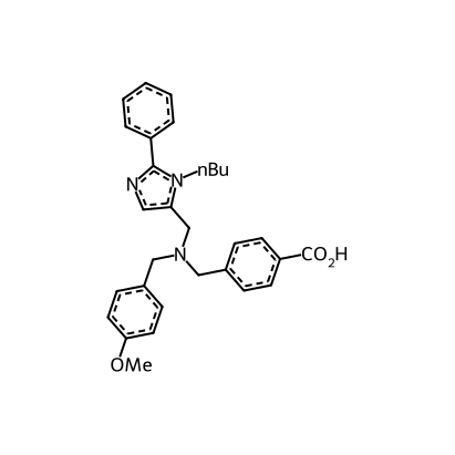 CCCCn1c(CN(Cc2ccc(OC)cc2)Cc2ccc(C(=O)O)cc2)cnc1-c1ccccc1